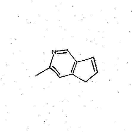 Cc1cc2c(cn1)C=CC2